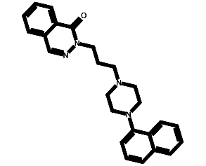 O=c1c2ccccc2cnn1CCCN1CCN(c2cccc3ccccc23)CC1